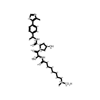 Cc1ncsc1-c1ccc(C(C)NC(=O)[C@@H]2C[C@@H](O)CN2C(=O)C(NC(=O)CCCCCCCN(C)C(=O)O)C(C)(C)C)cc1